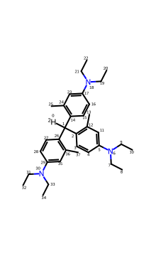 [2H]C(c1ccc(N(CC)CC)cc1C)(c1ccc(N(CC)CC)cc1C)c1ccc(N(CC)CC)cc1C